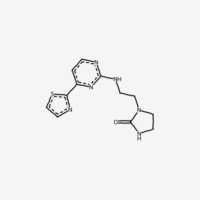 O=C1NCCN1CCNc1nccc(-c2nccs2)n1